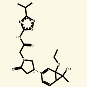 CCOC12C=C([C@@H]3CC(=O)N(CC(=O)Nc4nc(C(C)C)ns4)C3)C=CC1C2(C)O